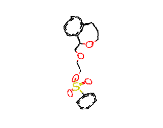 O=S(=O)(OCCOCC1OCCCc2ccccc21)c1ccccc1